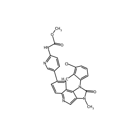 COC(=O)Nc1ccc(-c2ccc3ncc4c(c3c2)n(-c2cccc(Cl)c2C)c(=O)n4C)cn1